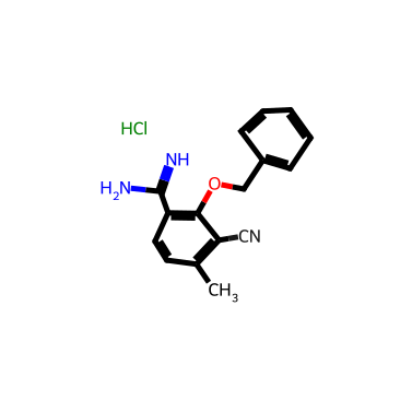 Cc1ccc(C(=N)N)c(OCc2ccccc2)c1C#N.Cl